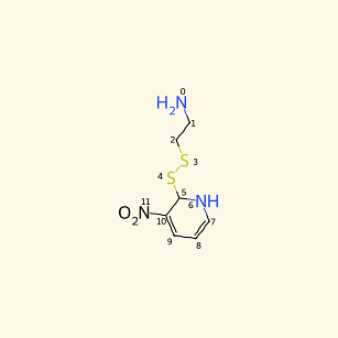 NCCSSC1NC=CC=C1[N+](=O)[O-]